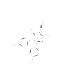 COc1ccc(-n2c(-c3ccc(SC)cc3)nc(SC)c(C#N)c2=O)cc1